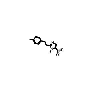 Cc1ccc(CCc2ncc([N+](=O)[O-])n2C)cc1